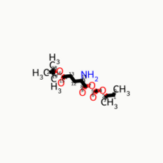 CCC(C)OC(=O)OC(=O)[C@@H](N)CCC(=O)OC(C)(C)C